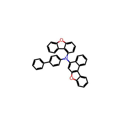 c1ccc(-c2ccc(N(c3cc4oc5ccccc5c4c4ccccc34)c3cccc4oc5ccccc5c34)cc2)cc1